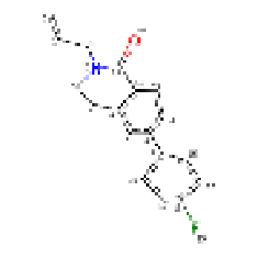 C=CCN1CCc2cc(-c3ccc(F)cc3)ccc2C1=O